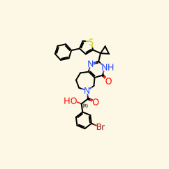 O=C([C@H](O)c1cccc(Br)c1)N1CCCc2nc(C3(c4cc(-c5ccccc5)cs4)CC3)[nH]c(=O)c2C1